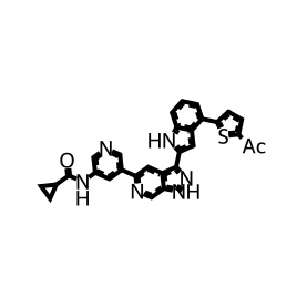 CC(=O)c1ccc(-c2cccc3[nH]c(-c4n[nH]c5cnc(-c6cncc(NC(=O)C7CC7)c6)cc45)cc23)s1